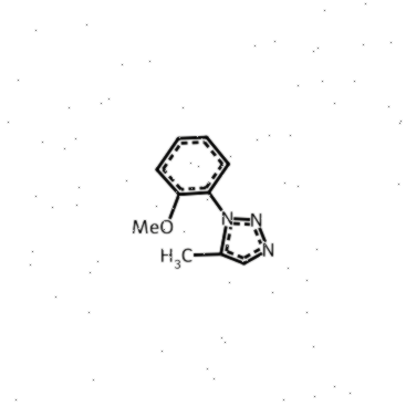 COc1ccccc1-n1nncc1C